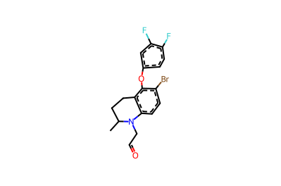 CC1CCc2c(ccc(Br)c2Oc2ccc(F)c(F)c2)N1CC=O